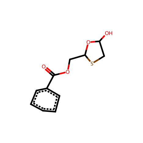 O=C(OCC1OC(O)CS1)c1ccccc1